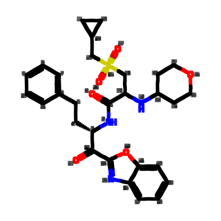 O=C(N[C@@H](CCc1ccccc1)C(=O)c1nc2ccccc2o1)C(CS(=O)(=O)CC1CC1)NC1CCOCC1